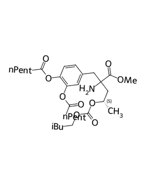 CCCCCC(=O)Oc1ccc(CC(N)(C[C@H](C)OC(=O)OCC(C)CC)C(=O)OC)cc1OC(=O)CCCCC